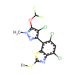 CCSc1nc2c(Cl)cc(Cl)c(-c3nn(C)c(OC(F)F)c3Cl)c2s1